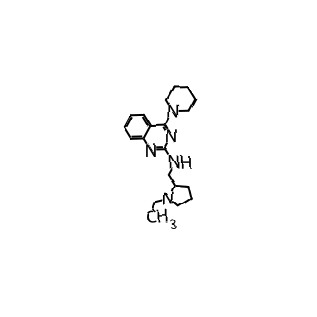 CCN1CCCC1CNc1nc(N2CCCCC2)c2ccccc2n1